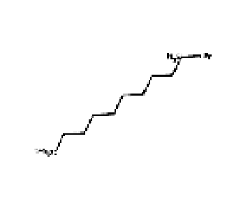 CCCCCCCCCCCCCCC[SiH2]CCC